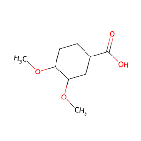 COC1CCC(C(=O)O)CC1OC